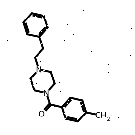 [CH2]c1ccc(C(=O)N2CCN(CCc3ccccc3)CC2)cc1